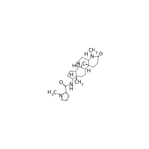 CN1C(=O)CC[C@]2(C)[C@H]3CC[C@]4(C)C(NC(=O)c5cccn5C)CC[C@H]4[C@@H]3CC[C@@H]12